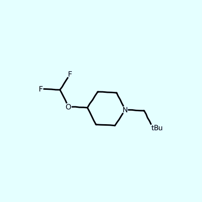 CC(C)(C)CN1CCC(OC(F)F)CC1